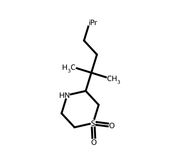 CC(C)CCC(C)(C)C1CS(=O)(=O)CCN1